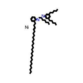 CCCCCCCCCCCCCCCCCCCCCC/C=C/CCc1ccccc1/N=C/C(CCCCC)=N/c1cc(CCCCC)cc(CCCCC)c1.[Ni]